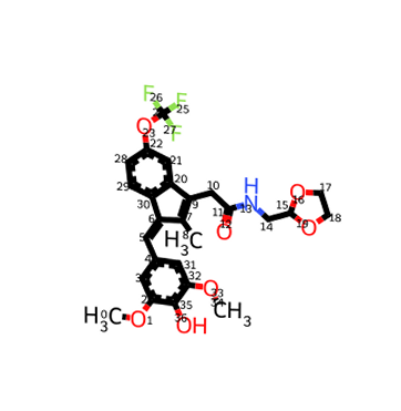 COc1cc(C=C2C(C)=C(CC(=O)NCC3OCCO3)c3cc(OC(F)(F)F)ccc32)cc(OC)c1O